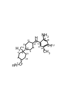 CCCO[C@H]1CC[C@](C)(N2CCC(Nc3cc(C)c(F)cc3N)CC2)CC1